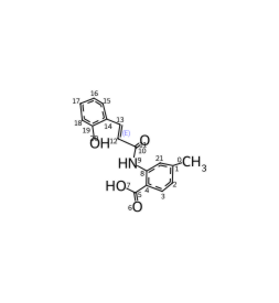 Cc1ccc(C(=O)O)c(NC(=O)/C=C/c2ccccc2O)c1